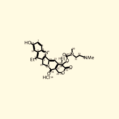 CCc1c2c(nc3ccc(O)cc13)-c1cc3c(c(=O)n1C2)COC(=O)[C@@]3(CC)OC(=O)N(C)CCNC.Cl